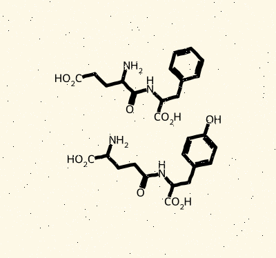 NC(CCC(=O)NC(Cc1ccc(O)cc1)C(=O)O)C(=O)O.NC(CCC(=O)O)C(=O)NC(Cc1ccccc1)C(=O)O